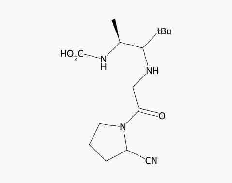 C[C@H](NC(=O)O)C(NCC(=O)N1CCCC1C#N)C(C)(C)C